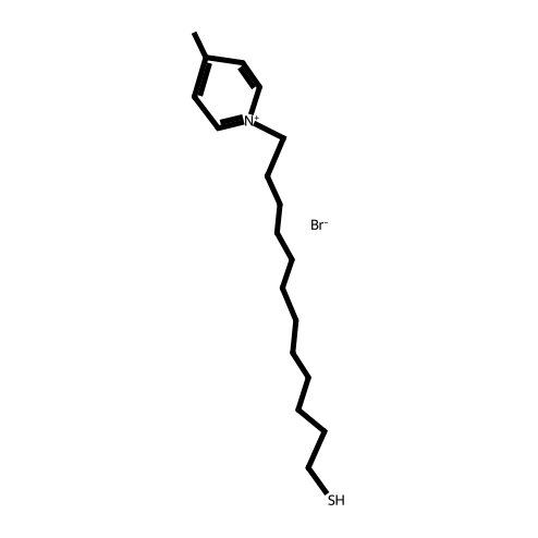 Cc1cc[n+](CCCCCCCCCCCCS)cc1.[Br-]